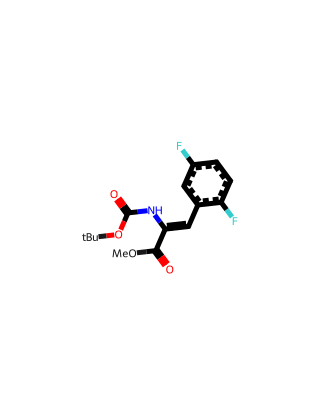 COC(=O)C(=Cc1cc(F)ccc1F)NC(=O)OC(C)(C)C